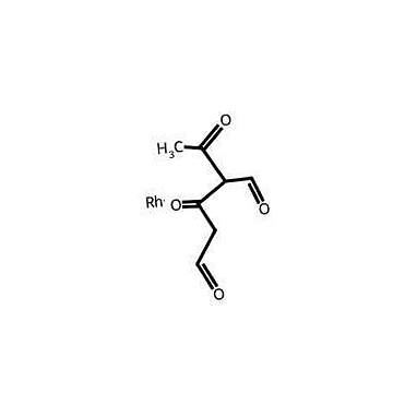 CC(=O)C(C=O)C(=O)CC=O.[Rh]